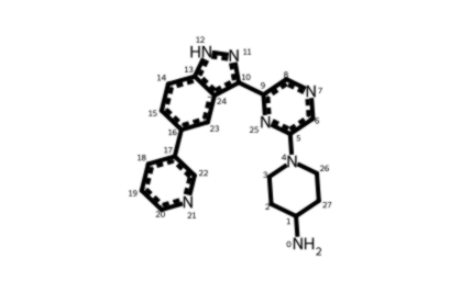 NC1CCN(c2cncc(-c3n[nH]c4ccc(-c5cccnc5)cc34)n2)CC1